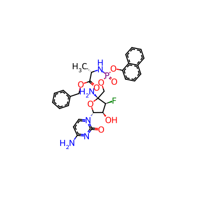 C[C@H](NP(=O)(OC[C@@]1(N)O[C@@H](n2ccc(N)nc2=O)[C@H](O)[C@@H]1F)Oc1cccc2ccccc12)C(=O)OCc1ccccc1